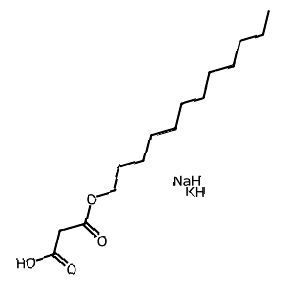 CCCCCCCCCCCCOC(=O)CC(=O)O.[KH].[NaH]